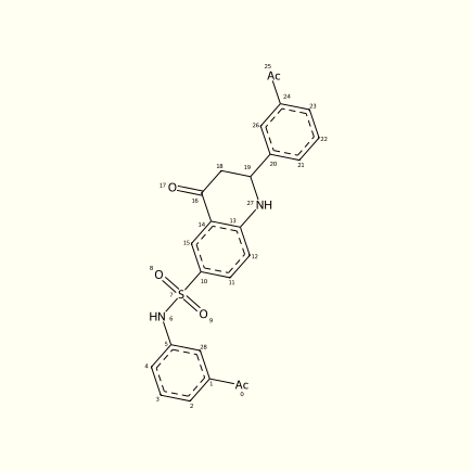 CC(=O)c1cccc(NS(=O)(=O)c2ccc3c(c2)C(=O)CC(c2cccc(C(C)=O)c2)N3)c1